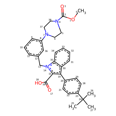 COC(=O)N1CCN(c2cccc(Cn3c(C(=O)O)c(-c4ccc(C(C)(C)C)cc4)c4ccccc43)c2)CC1